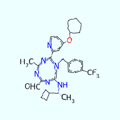 Cc1nc(C=O)nc(N[C@H](C)C2CCC2)cn(Cc2ccc(C(F)(F)F)cc2)c(-c2cc(OC3CCCCC3)ccn2)n1